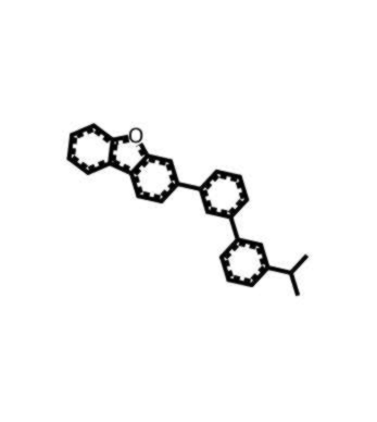 CC(C)c1cccc(-c2cccc(-c3ccc4c(c3)oc3ccccc34)c2)c1